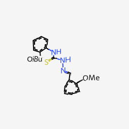 COc1ccccc1/C=N/NC(=S)Nc1ccccc1OCC(C)C